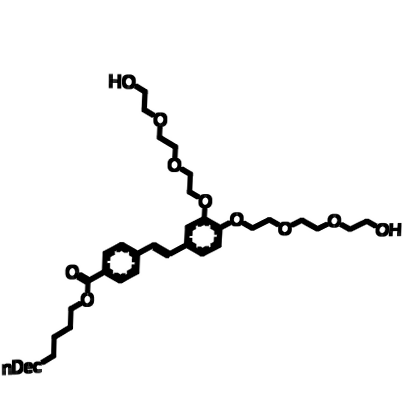 CCCCCCCCCCCCCCOC(=O)c1ccc(C=Cc2ccc(OCCOCCOCCO)c(OCCOCCOCCO)c2)cc1